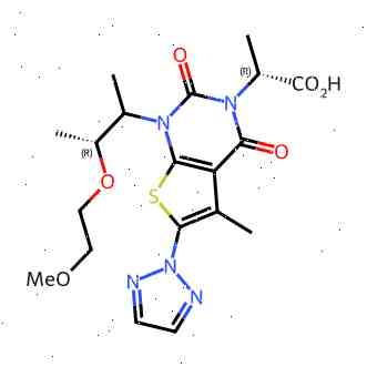 COCCO[C@H](C)C(C)n1c(=O)n([C@H](C)C(=O)O)c(=O)c2c(C)c(-n3nccn3)sc21